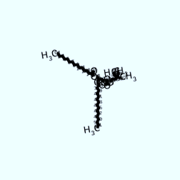 CCCCCCCCCCCCCCCC(=O)OCC(COP(=O)([O-])OCC[N+](CC)(CC)CC)OC(=O)CCCCCCCCCCCCCCC